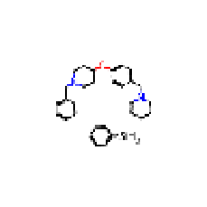 [SiH3]c1ccccc1.c1ccc(CN2CCC(Oc3ccc(CN4CCCCC4)cc3)CC2)cc1